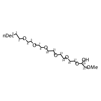 CCCCCCCCCCCCOCCOCCOCCOCCOCCOC(O)COC